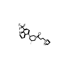 C[C@@H]1C[C@@H](c2ccc(C(F)(F)F)c3ncccc23)CN(C(=O)CCn2cccn2)C1